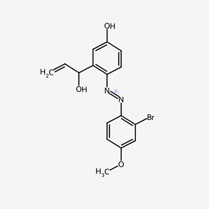 C=CC(O)c1cc(O)ccc1/N=N/c1ccc(OC)cc1Br